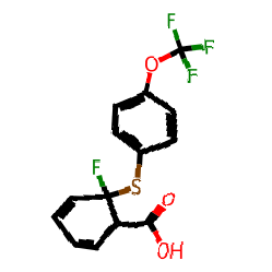 O=C(O)C1C=CC=CC1(F)Sc1ccc(OC(F)(F)F)cc1